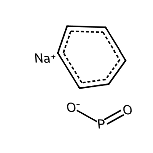 O=P[O-].[Na+].c1ccccc1